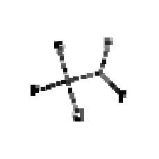 FC(F)C(F)([S])Cl